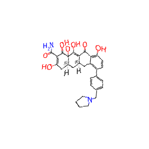 NC(=O)C1=C(O)C[C@@H]2C[C@@H]3Cc4c(-c5ccc(CN6CCCC6)cc5)ccc(O)c4C(=O)C3=C(O)C2(O)C1=O